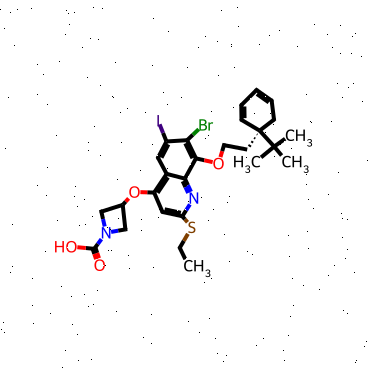 CCSc1cc(OC2CN(C(=O)O)C2)c2cc(I)c(Br)c(OCC[C@]3(C(C)(C)C)C=CC=CC3)c2n1